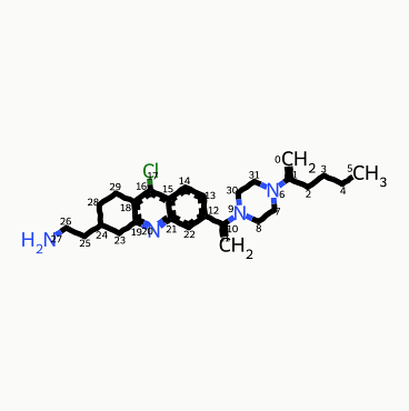 C=C(CCCC)N1CCN(C(=C)c2ccc3c(Cl)c4c(nc3c2)CC(CCN)CC4)CC1